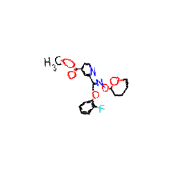 COC(=O)c1ccnc(/C(COc2ccccc2F)=N/OC2CCCCO2)c1